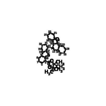 CC1(C)OB(c2cccc3c2sc2c(-c4cc5ccccc5c5oc6ccccc6c45)cccc23)OC1(C)C